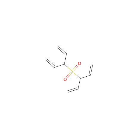 C=CC(C=C)S(=O)(=O)C(C=C)C=C